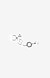 N#Cc1ccc(CN2CCN(C3(C4CC4)CCOCC3)CC2)cc1